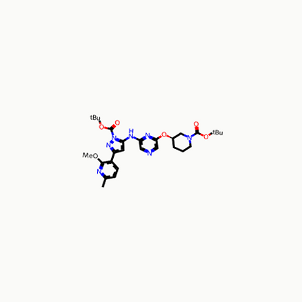 COc1nc(C)ccc1-c1cc(Nc2cncc(O[C@@H]3CCCN(C(=O)OC(C)(C)C)C3)n2)n(C(=O)OC(C)(C)C)n1